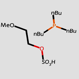 CCCCP(CCCC)CCCC.COCCOS(=O)(=O)O